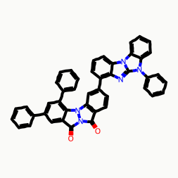 O=c1c2ccc(-c3cccc4c3nc3n(-c5ccccc5)c5ccccc5n43)cc2n2c3c(-c4ccccc4)cc(-c4ccccc4)cc3c(=O)n12